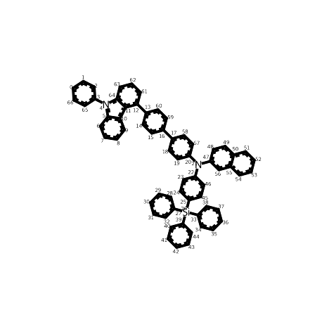 c1ccc(-n2c3ccccc3c3c(-c4ccc(-c5ccc(N(c6ccc([Si](c7ccccc7)(c7ccccc7)c7ccccc7)cc6)c6ccc7ccccc7c6)cc5)cc4)cccc32)cc1